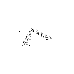 [Cu+2].[Cu+2].[Fe+3].[Fe+3].[O-2].[O-2].[O-2].[O-2].[O-2].[O-2].[O-2].[Zn+2].[Zn+2]